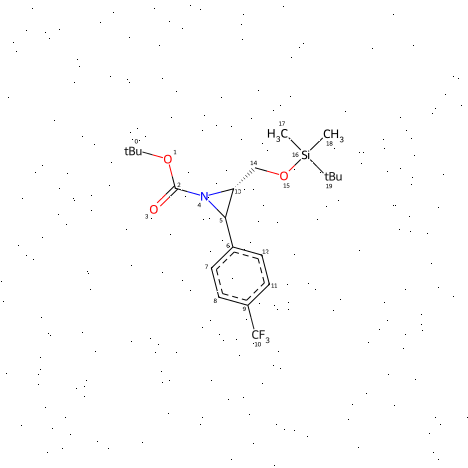 CC(C)(C)OC(=O)N1C(c2ccc(C(F)(F)F)cc2)[C@H]1CO[Si](C)(C)C(C)(C)C